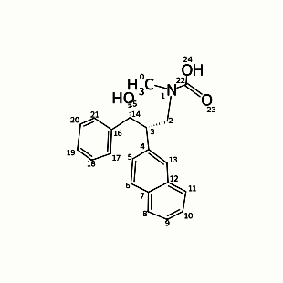 CN(C[C@H](c1ccc2ccccc2c1)[C@@H](O)c1ccccc1)C(=O)O